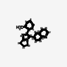 Cc1ccccc1-c1nc2n(c1-c1ccc3ncccc3c1)CCC2